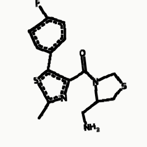 Cc1nc(C(=O)N2CSCC2CN)c(-c2ccc(F)cc2)s1